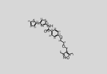 Cc1noc(C)c1COCCOc1ccc(C(=O)Nc2nc(-c3cccs3)cs2)cc1